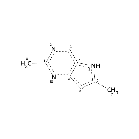 Cc1ncc2[nH]c(C)[c]c2n1